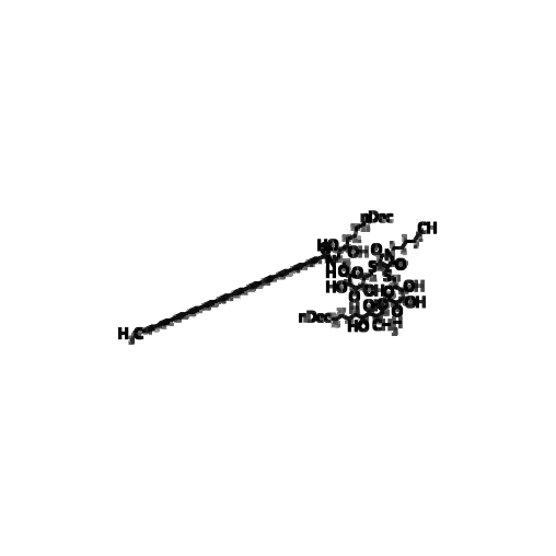 C#CCCCCN1C(=O)C(SCC2O[C@H](OC[C@H](NC(=O)C#CC#CC#CC#CC#CC#CC#CC#CC#CC#CC#CC#CC)[C@H](O)[C@H](O)CCCCCCCCCCCCCC)C(O)[C@@H](O)[C@H]2O)=C(SCC2O[C@H](OC[C@H](C)[C@H](O)[C@H](O)CCCCCCCCCCCCCC)C(O)[C@@H](O)[C@H]2O)C1=O